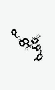 COc1ccc(N(Cc2cnn(Cc3cc(C)ccn3)c2)C(=O)C2CCCc3c(OCc4ccccc4)cccc32)cn1